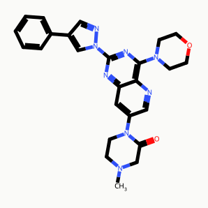 CN1CCN(c2cnc3c(N4CCOCC4)nc(-n4cc(-c5ccccc5)cn4)nc3c2)C(=O)C1